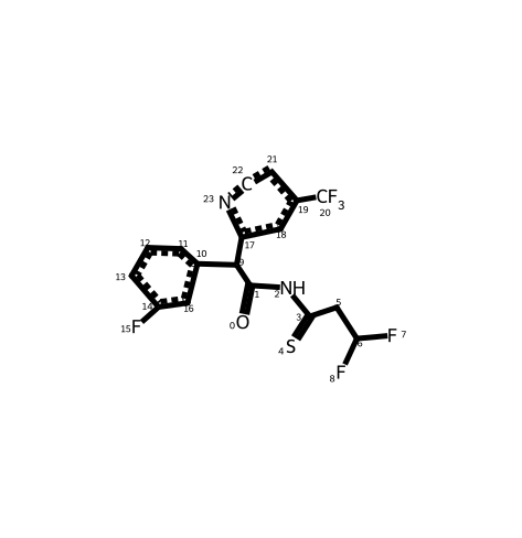 O=C(NC(=S)CC(F)F)C(c1cccc(F)c1)c1cc(C(F)(F)F)ccn1